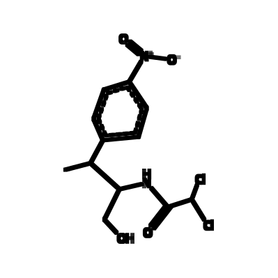 CC(c1ccc([N+](=O)[O-])cc1)C(CO)NC(=O)C(Cl)Cl